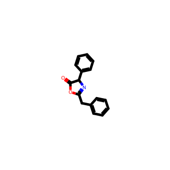 O=C1OC(Cc2ccccc2)=NC1c1ccccc1